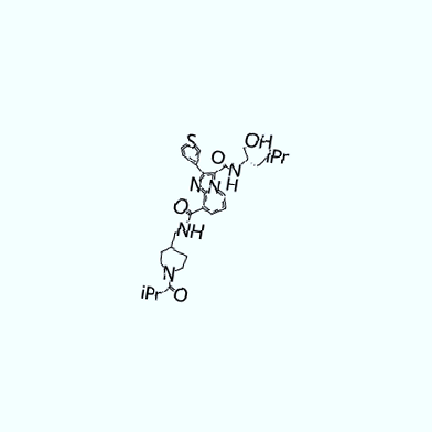 CC(C)C[C@@H](CO)NC(=O)c1c(-c2ccsc2)nc2c(C(=O)NCC3CCN(C(=O)C(C)C)CC3)cccn12